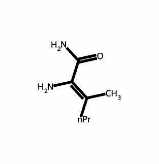 CCCC(C)=C(N)C(N)=O